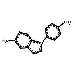 Nc1ccc2c(ccn2-c2ccc(C(=O)O)cc2)c1